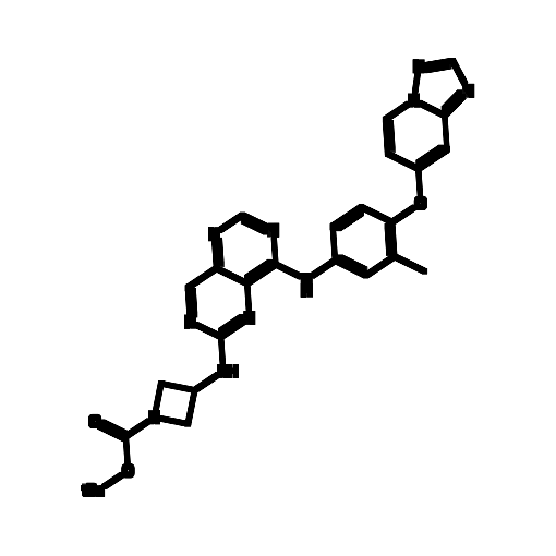 Cc1cc(Nc2ncnc3cnc(NC4CN(C(=O)OC(C)(C)C)C4)nc23)ccc1Oc1ccn2ncnc2c1